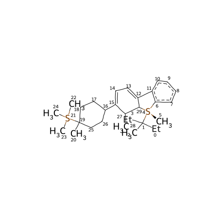 CCC(C)(CC)[S@@]1(C)c2ccccc2C2=CC=C(C3CCC(C)(S(C)(C)C)CC3)C(C)C21